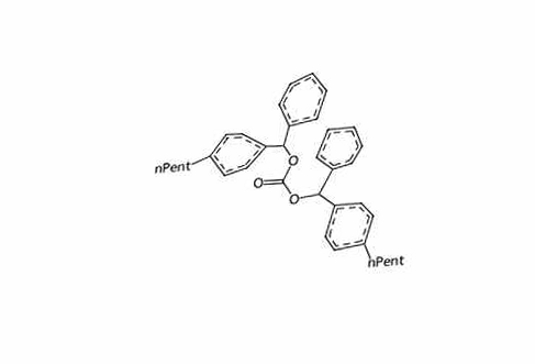 CCCCCc1ccc(C(OC(=O)OC(c2ccccc2)c2ccc(CCCCC)cc2)c2ccccc2)cc1